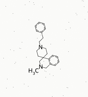 CN1Cc2ccccc2C2(CCN(CCc3ccccc3)CC2)C1